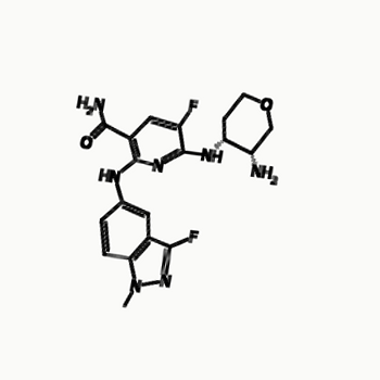 Cn1nc(F)c2cc(Nc3nc(N[C@@H]4CCOC[C@@H]4N)c(F)cc3C(N)=O)ccc21